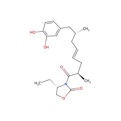 CC[C@H]1COC(=O)N1C(=O)[C@H](C)C/C=C/C[C@@H](C)Cc1ccc(O)c(O)c1